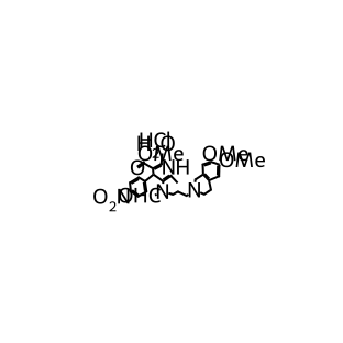 COC(=O)C1=C(C)NC(C)=C(N(C=O)CCCN2CCc3cc(OC)c(OC)cc3C2)C1c1ccc([N+](=O)[O-])cc1.Cl.O